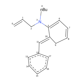 C=CCN(CCCC)C1=CC=CCC1=Cc1ccccc1